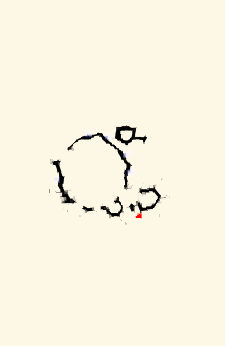 C[C@@H]1C/C=C/C=C/C=C/C=C/[C@H](O[C@@H]2O[C@H](C)[C@@H](O)[C@H](N)[C@@H]2O)C[C@@H]2O[C@](O)(C[C@@H](O)C[C@H]3O[C@@H]3/C=C/C(=O)O1)C[C@H](O)[C@H]2C(=O)O.O=C([O-])c1ccccc1.[K+]